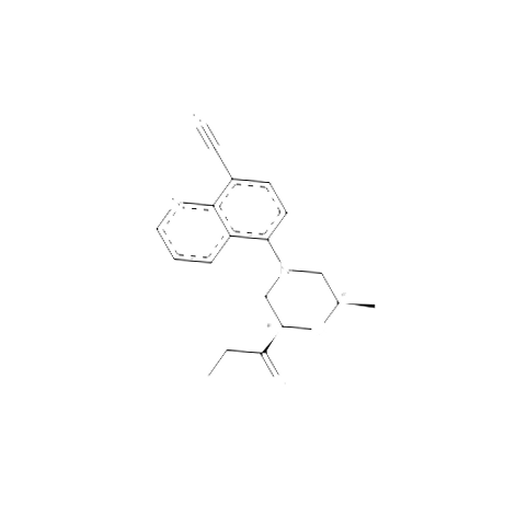 CCC(=O)[C@H]1CN(c2ccc(C#N)c3ncccc23)C[C@@H](C)O1